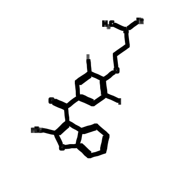 CCCCc1oc2ccccc2c1C(=O)c1cc(I)c(OCCN(C)CC)c(I)c1